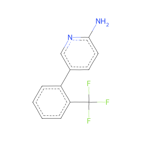 Nc1ccc(-c2ccccc2C(F)(F)F)cn1